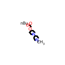 CCCCOC(=O)COC1CCN(C2CCN(C)CC2)CC1